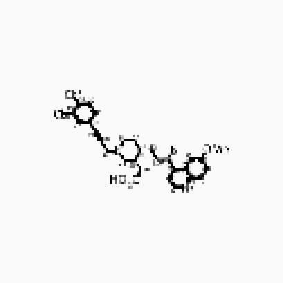 COc1ccc2nccc([C@H](F)CC[C@@H]3CCN(CC#Cc4ccc(Cl)c(Cl)c4)C[C@@H]3CC(=O)O)c2c1